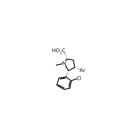 CC(=O)[C@H]1C[C@@H](C(=O)O)N(C)[C@H]1c1ccccc1Cl